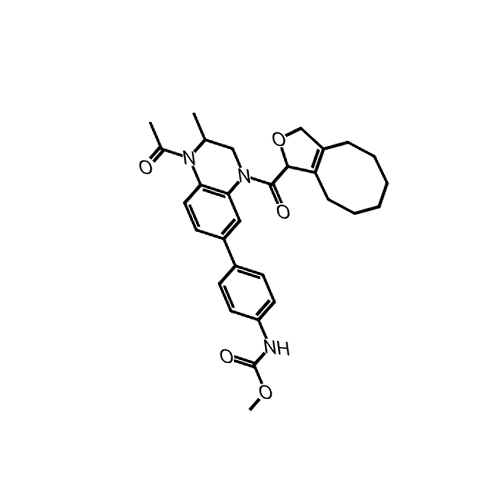 COC(=O)Nc1ccc(-c2ccc3c(c2)N(C(=O)C2OCC4=C2CCCCCC4)CC(C)N3C(C)=O)cc1